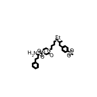 CCN(CCCCN1CCN(S(=O)(=O)C(N)CCc2ccccc2)CC1=O)C(C)Cc1ccc(S(C)(=O)=O)cc1